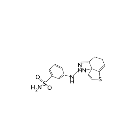 NS(=O)(=O)c1cccc(NC2=NC=C3CCC=C4SC=CC34N2)c1